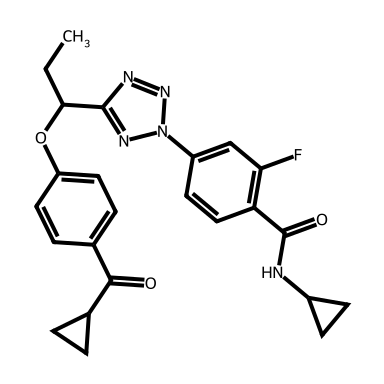 CCC(Oc1ccc(C(=O)C2CC2)cc1)c1nnn(-c2ccc(C(=O)NC3CC3)c(F)c2)n1